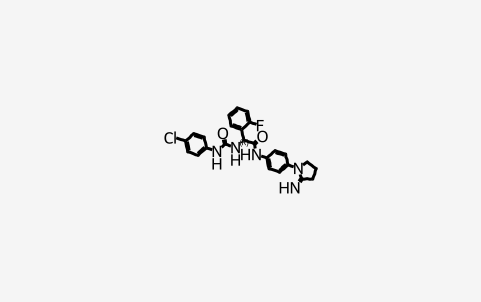 N=C1CCCN1c1ccc(NC(=O)[C@H](NC(=O)Nc2ccc(Cl)cc2)c2ccccc2F)cc1